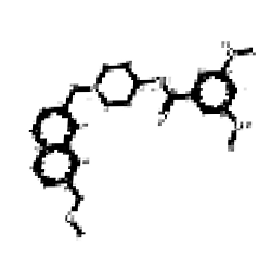 COCc1ccc2ccc(CN3CCC(NC(=O)c4cc(OC)cc(OC)c4)CC3)cc2c1